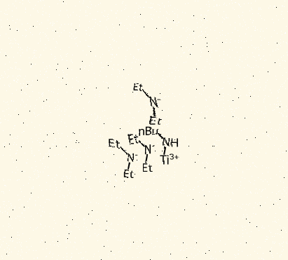 CCCC[NH][Ti+3].CC[N-]CC.CC[N-]CC.CC[N-]CC